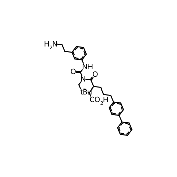 CC(C)(C)CN(C(=O)Nc1cccc(CCN)c1)C(=O)C(CCCc1ccc(-c2ccccc2)cc1)CC(=O)O